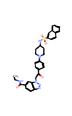 CCNC(=O)c1ccc2nnn(CC(=O)c3ccc(N4CCC(NS(=O)(=O)c5ccc6ccccc6c5)CC4)cc3)c2c1